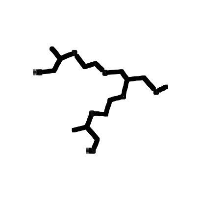 COCC(COCCOC(C)CO)OCCOC(C)CO